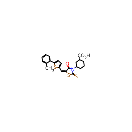 Cc1ccccc1-c1ccc(/C=C2/SC(=S)N(C3CCCC(C(=O)O)C3)C2=O)s1